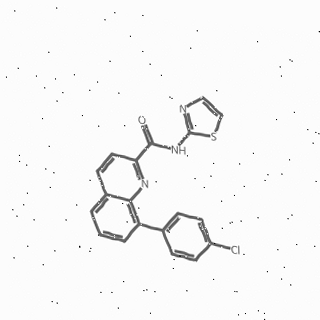 O=C(Nc1nccs1)c1ccc2cccc(-c3ccc(Cl)cc3)c2n1